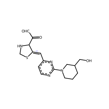 O=CC(=O)C1NCS/C1=C\c1ccnc(N2CCCC(CO)C2)n1